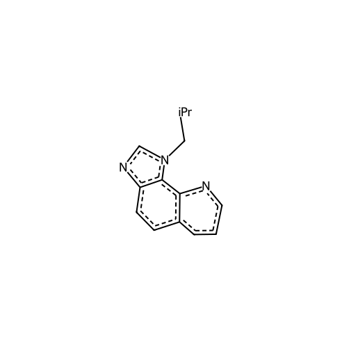 CC(C)Cn1cnc2ccc3cccnc3c21